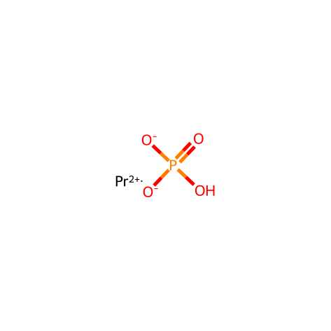 O=P([O-])([O-])O.[Pr+2]